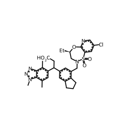 CC[C@@H]1CN(Cc2cc(C(CC(=O)O)c3cc(C)c4c(nnn4C)c3C)cc3c2CCC3)S(=O)(=O)c2cc(Cl)cnc2O1